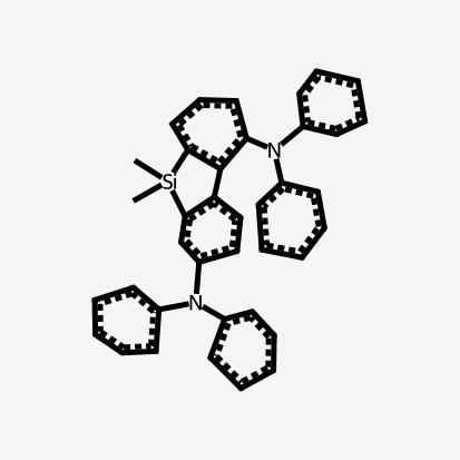 C[Si]1(C)c2cc(N(c3ccccc3)c3ccccc3)ccc2-c2c(N(c3ccccc3)c3ccccc3)cccc21